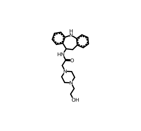 O=C(CN1CCN(CCO)CC1)NC1Cc2ccccc2Nc2ccccc21